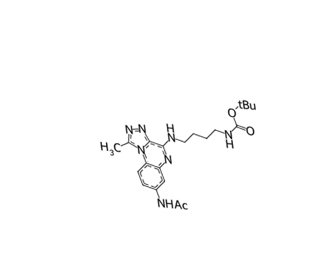 CC(=O)Nc1ccc2c(c1)nc(NCCCCNC(=O)OC(C)(C)C)c1nnc(C)n12